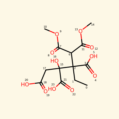 CCC(C(=O)O)(C(C(=O)OC)C(=O)OC)C(O)(CC(=O)O)C(=O)O